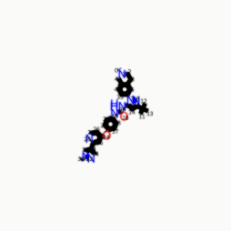 CN1CCc2cc(-n3nc(C(C)(C)C)cc3NC(=O)Nc3ccc(Oc4ccnc(-c5cnn(C)c5)c4)cc3)ccc2C1